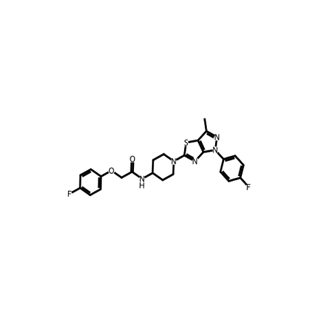 Cc1nn(-c2ccc(F)cc2)c2nc(N3CCC(NC(=O)COc4ccc(F)cc4)CC3)sc12